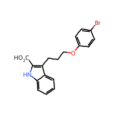 O=C(O)c1[nH]c2ccccc2c1CCCOc1ccc(Br)cc1